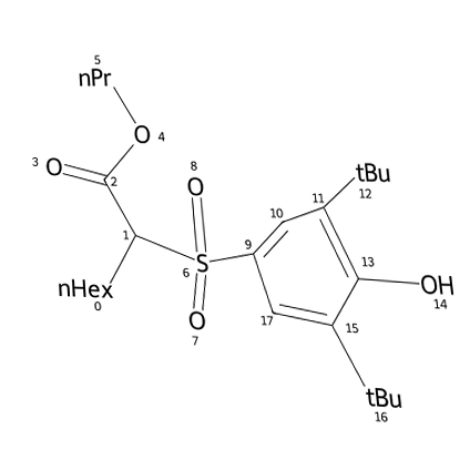 CCCCCCC(C(=O)OCCC)S(=O)(=O)c1cc(C(C)(C)C)c(O)c(C(C)(C)C)c1